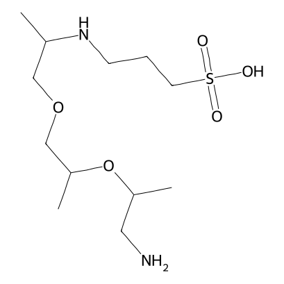 CC(COCC(C)OC(C)CN)NCCCS(=O)(=O)O